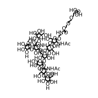 CC(=O)NC1[C@H](OCCNC(=O)OCCOCCOCCP(=O)(O)O)OC(CO)[C@@H](O[C@@H]2OC(CO)[C@@H](O[C@@H]3OC(CO[C@H]4OC(CO[C@H]5OC(CO)[C@@H](O)[C@H](O)C5O)[C@@H](O)[C@H](O[C@H]5O[C@@H](CO)[C@@H](O)C(O)C5O)C4O)[C@@H](O)[C@H](O[C@H]4O[C@@H](CO)[C@@H](O)C(O)C4O[C@@H]4OC(CO)[C@@H](O[C@@H]5OC(CO)[C@H](O)[C@H](O)C5O)[C@H](O)C4NC(C)=O)C3O)[C@H](O)C2NC(C)=O)[C@@H]1O